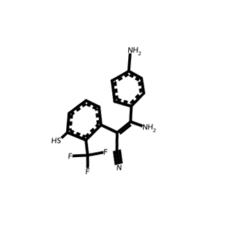 N#C/C(=C(\N)c1ccc(N)cc1)c1cccc(S)c1C(F)(F)F